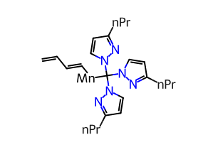 C=CC=[CH][Mn][C](n1ccc(CCC)n1)(n1ccc(CCC)n1)n1ccc(CCC)n1